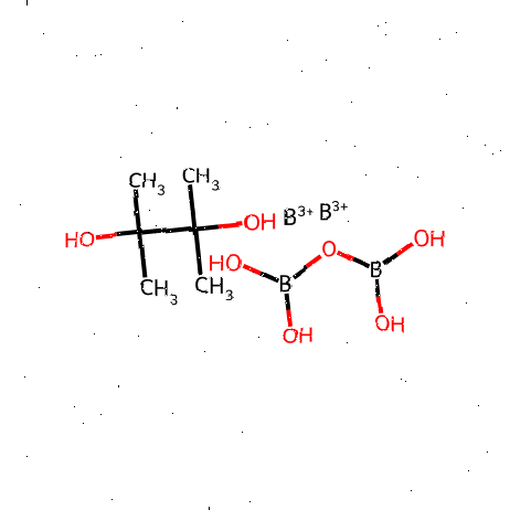 CC(C)(O)C(C)(C)O.OB(O)OB(O)O.[B+3].[B+3]